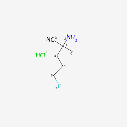 CC(N)(C#N)CCCF.Cl